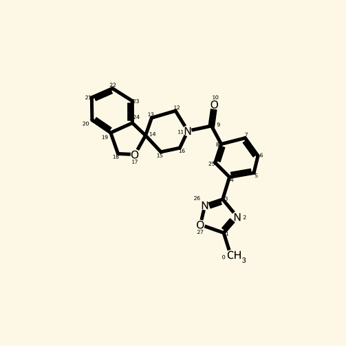 Cc1nc(-c2cccc(C(=O)N3CCC4(CC3)OCc3ccccc34)c2)no1